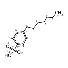 CCCCCCCc1ccc(S(=O)(=O)O)cc1